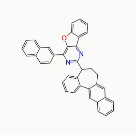 c1ccc2c(c1)-c1cc3ccccc3cc1CCC2c1nc(-c2ccc3ccccc3c2)c2oc3ccccc3c2n1